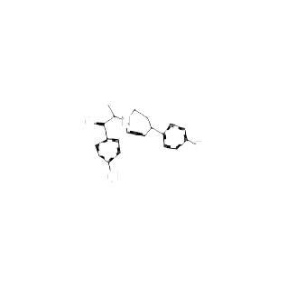 CC(C(=O)c1ccc(Cl)cc1)N1C=CC(c2ccc(F)cc2)CC1